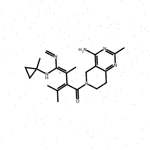 C=N/C(NC1(C)CC1)=C(\C)C(C(=O)N1CCc2nc(C)nc(N)c2C1)=C(C)C